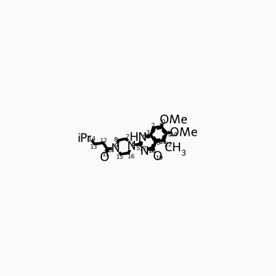 COc1cc2[nH]c(N3CCN(C(=O)CCC(C)C)CC3)nc(=O)c2c(C)c1OC